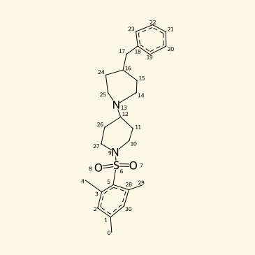 Cc1cc(C)c(S(=O)(=O)N2CCC(N3CCC(Cc4ccccc4)CC3)CC2)c(C)c1